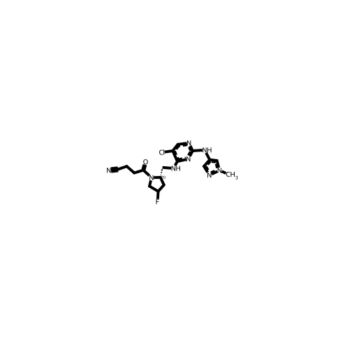 Cn1cc(Nc2ncc(Cl)c(NC[C@@H]3CC(F)CN3C(=O)CCC#N)n2)cn1